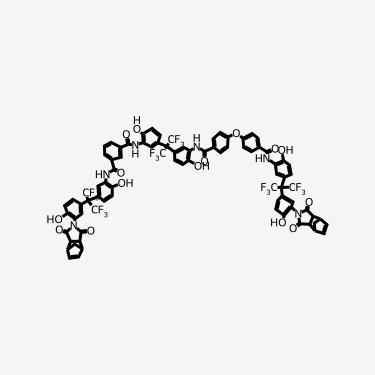 O=C(Nc1cc(C(c2ccc(O)c(NC(=O)c3cccc(C(=O)Nc4cc(C(c5ccc(O)c(N6C(=O)C7C8C=CC(C8)C7C6=O)c5)(C(F)(F)F)C(F)(F)F)ccc4O)c3)c2)(C(F)(F)F)C(F)(F)F)ccc1O)c1ccc(Oc2ccc(C(=O)Nc3cc(C(c4ccc(O)c(N5C(=O)C6C7C=CC(C7)C6C5=O)c4)(C(F)(F)F)C(F)(F)F)ccc3O)cc2)cc1